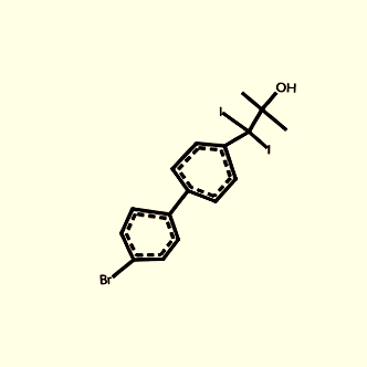 CC(C)(O)C(I)(I)c1ccc(-c2ccc(Br)cc2)cc1